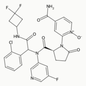 NC(=O)c1cc[n+]([O-])c(N2C(=O)CC[C@H]2C(=O)N(c2cncc(F)c2)C(C(=O)NC2CC(F)(F)C2)c2ccccc2Cl)c1